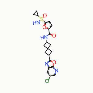 N=S(=O)(c1ccc(C(=O)N[C@H]2CC3(C2)C[C@H](c2nc4cc(Cl)cnc4o2)C3)o1)C1CC1